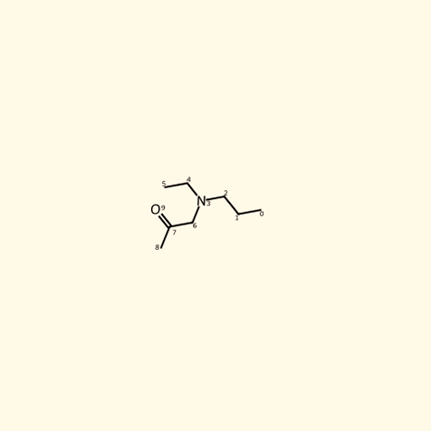 CCCN(CC)CC(C)=O